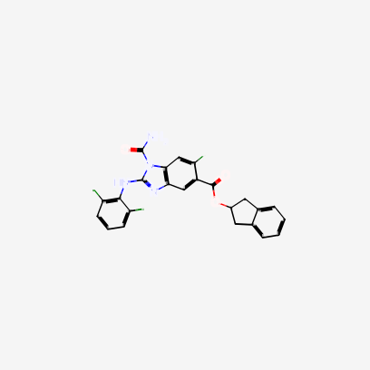 NC(=O)n1c(Nc2c(Cl)cccc2Cl)nc2cc(C(=O)OC3Cc4ccccc4C3)c(Cl)cc21